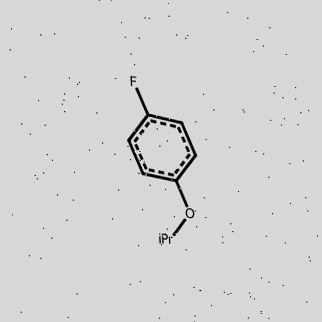 CC(C)Oc1[c]cc(F)cc1